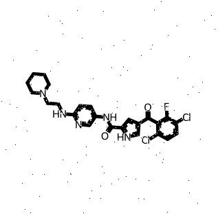 O=C(Nc1ccc(NCCN2CCCCC2)nc1)c1cc(C(=O)c2c(Cl)ccc(Cl)c2F)c[nH]1